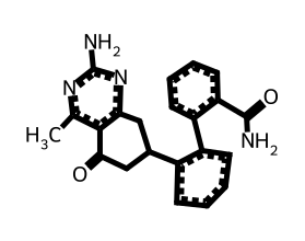 Cc1nc(N)nc2c1C(=O)CC(c1ccccc1-c1ccccc1C(N)=O)C2